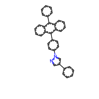 c1ccc(-c2cnn(-c3ccc(-c4c5ccccc5c(-c5ccccc5)c5ccccc45)cc3)c2)cc1